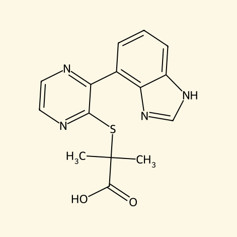 CC(C)(Sc1nccnc1-c1cccc2[nH]cnc12)C(=O)O